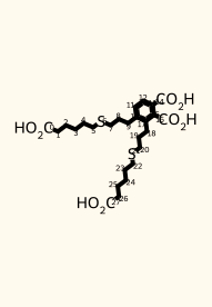 O=C(O)CCCCCSCCCc1ccc(C(=O)O)c(C(=O)O)c1CCCSCCCCCC(=O)O